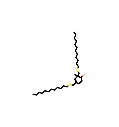 CCCCCCCCCCCCSCC1=CC(C)(CSCCCCCCCCCCCC)C(O)C=C1